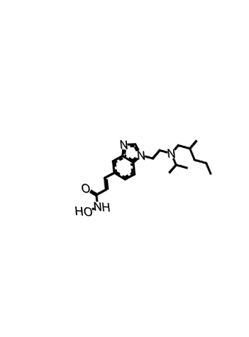 CCCC(C)CN(CCn1cnc2cc(/C=C/C(=O)NO)ccc21)C(C)C